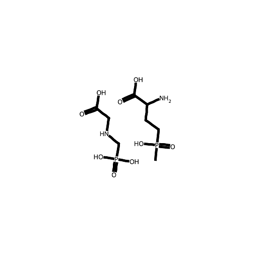 CP(=O)(O)CCC(N)C(=O)O.O=C(O)CNCP(=O)(O)O